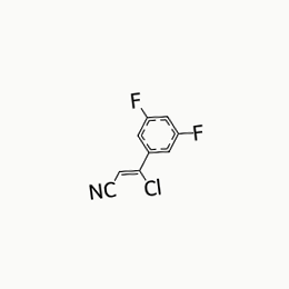 N#CC=C(Cl)c1cc(F)cc(F)c1